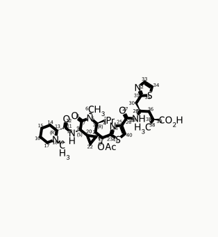 CC(=O)O[C@H](C[C@H](C(C)C)N(C)C(=O)[C@@H](NC(=O)[C@H]1CCCCN1C)C1CC1)c1nc(C(=O)N[C@@H](Cc2nccs2)C[C@H](C)C(=O)O)cs1